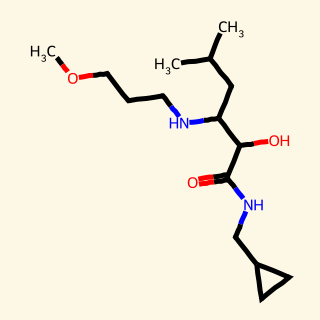 COCCCNC(CC(C)C)C(O)C(=O)NCC1CC1